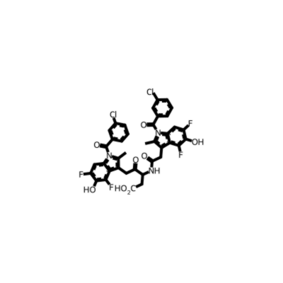 Cc1c(CC(=O)NC(CC(=O)O)C(=O)Cc2c(C)n(C(=O)c3cccc(Cl)c3)c3cc(F)c(O)c(F)c23)c2c(F)c(O)c(F)cc2n1C(=O)c1cccc(Cl)c1